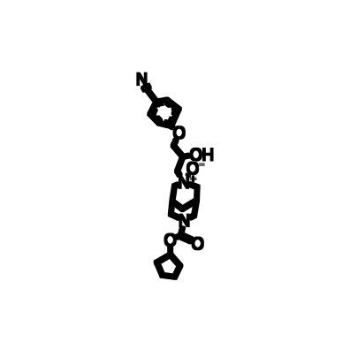 N#Cc1ccc(OCC(O)C[N+]2([O-])CC3CC(CN(C(=O)OC4CCCC4)C3)C2)cc1